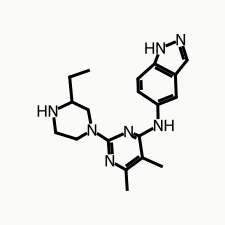 CCC1CN(c2nc(C)c(C)c(Nc3ccc4[nH]ncc4c3)n2)CCN1